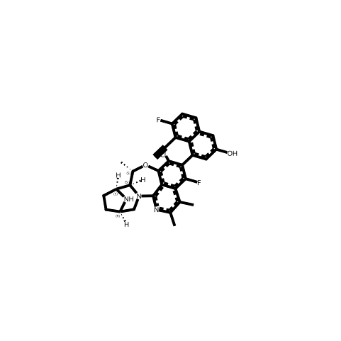 C#Cc1c(F)ccc2cc(O)cc(-c3c(Cl)c4c5c(nc(C)c(C)c5c3F)N3C[C@H]5CC[C@H](N5)[C@H]3[C@H](C)O4)c12